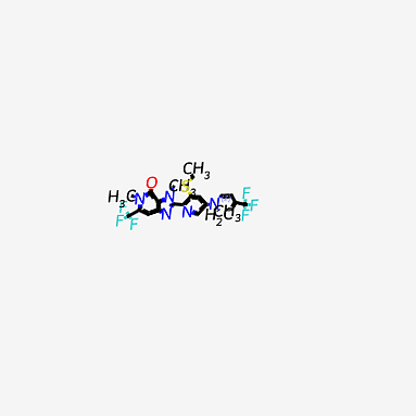 C=C(/C=C\N(C)c1cnc(-c2nc3cc(C(F)(F)F)n(C)c(=O)c3n2C)c(SCC)c1)C(F)(F)F